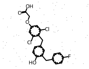 O=C(O)COc1cc(Cl)c(Cc2ccc(O)c(Cc3ccc(F)cc3)c2)c(Cl)c1